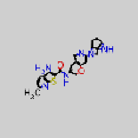 Cc1ccc2c(N)c(C(=O)N[C@H]3COc4cc(N5CC67NC6CCC57)ncc4C3)sc2n1